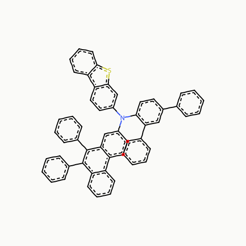 c1ccc(-c2ccc(N(c3ccc4c(c3)sc3ccccc34)c3ccc4c(c3)c(-c3ccccc3)c(-c3ccccc3)c3ccccc34)c(-c3ccccc3)c2)cc1